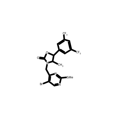 CSc1ncc(Br)c(CN2C(=O)OC(c3cc(C(F)(F)F)cc(C(F)(F)F)c3)C2C)n1